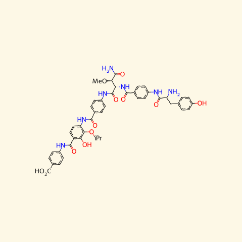 CO[C@@H](C(N)=O)[C@H](NC(=O)c1ccc(NC(=O)C(N)Cc2ccc(O)cc2)cc1)C(=O)Nc1ccc(C(=O)Nc2ccc(C(=O)Nc3ccc(C(=O)O)cc3)c(O)c2OC(C)C)cc1